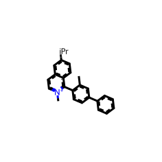 Cc1cc(-c2ccccc2)ccc1-c1c2ccc(C(C)C)cc2cc[n+]1C